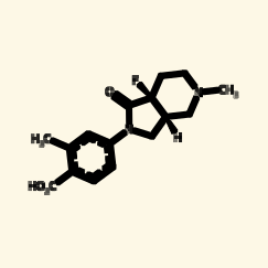 Cc1cc(N2C[C@H]3CN(C)CC[C@@]3(F)C2=O)ccc1C(=O)O